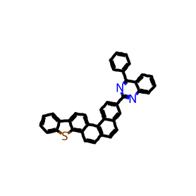 c1ccc(-c2nc(-c3ccc4c(ccc5ccc6c(ccc7c8ccccc8sc76)c54)c3)nc3ccccc23)cc1